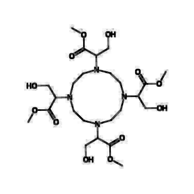 COC(=O)C(CO)N1CCN(C(CO)C(=O)OC)CCN(C(CO)C(=O)OC)CCN(C(CO)C(=O)OC)CC1